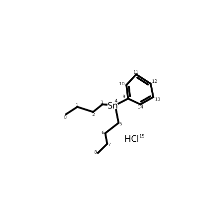 CCC[CH2][Sn]([CH2]CCC)[c]1ccccc1.Cl